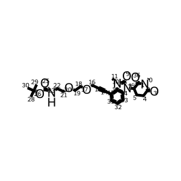 CN1C(=O)CCC(n2c(=O)n(C)c3c(C#CCOCCOCCNC(=O)OC(C)(C)C)cccc32)C1=O